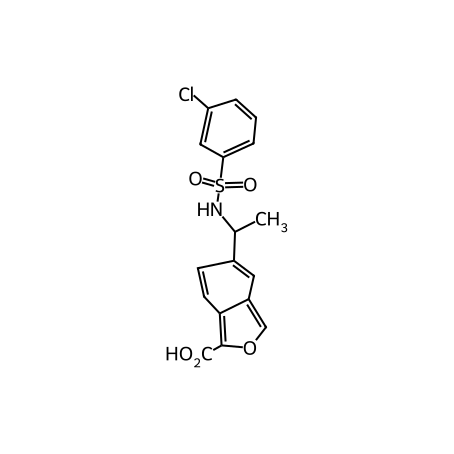 CC(NS(=O)(=O)c1cccc(Cl)c1)c1ccc2c(C(=O)O)occ2c1